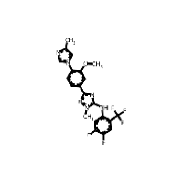 COc1cc(-c2nc(Nc3cc(F)c(F)cc3C(F)(F)F)n(C)n2)ccc1-n1cnc(C)c1